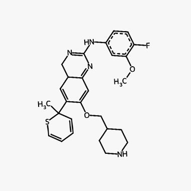 COc1cc(NC2=NCC3C=C(C4(C)C=CC=CS4)C(OCC4CCNCC4)=CC3=N2)ccc1F